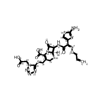 C=CCO/N=C(\C(=O)NC1C(=O)N2C(C(=O)O)=C(CSc3nnnn3CC(=O)O)CS[C@H]12)c1csc(N)n1